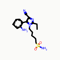 CCc1nc(C#N)c(-c2ccccc2N)n1CCCCCS(N)(=O)=O